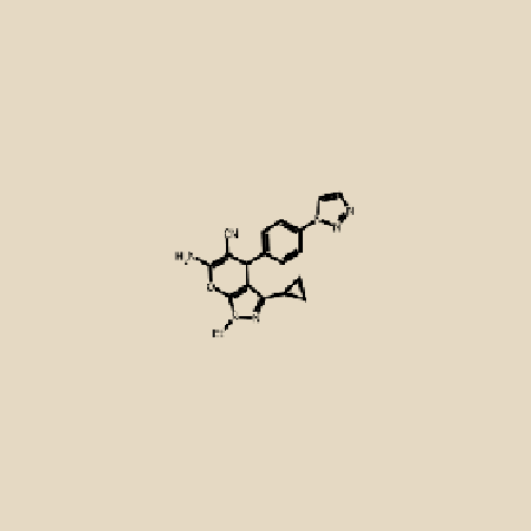 CCn1nc(C2CC2)c2c1OC(N)=C(C#N)C2c1ccc(-n2ccnn2)cc1